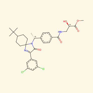 COC(=O)[C@H](O)CNC(=O)c1ccc([C@@H](C)N2C(=O)C(c3cc(Cl)cc(Cl)c3)=NC23CCC(C(C)(C)C)CC3)cc1